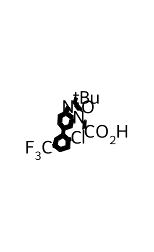 CC(C)(C)c1nc2ccc(-c3cc(C(F)(F)F)ccc3Cl)cc2n(CCC(=O)O)c1=O